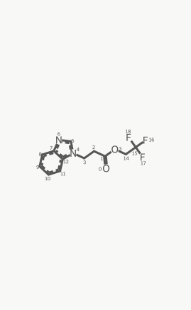 O=C(CCn1cnc2ccccc21)OCC(F)(F)F